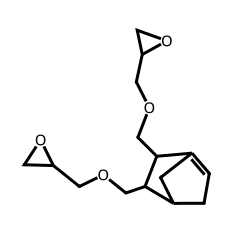 C1=C2CC(C1)C(COCC1CO1)C2COCC1CO1